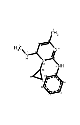 CNC1C=C(C)N=C(Nc2ccccc2)N1C1CC1